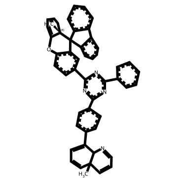 CC12C=CC=NC1C(c1ccc(-c3nc(-c4ccccc4)nc(-c4ccc5c(c4)C4(c6ccccc6-c6ccccc64)[C@@]4(C)CC=CC=C4O5)n3)cc1)=CC=C2